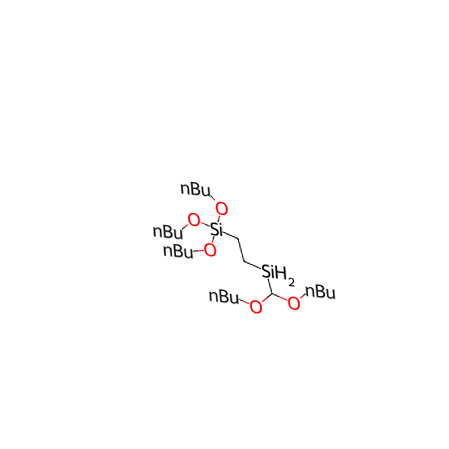 CCCCOC(OCCCC)[SiH2]CC[Si](OCCCC)(OCCCC)OCCCC